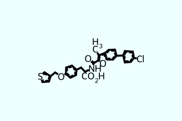 Cc1c(C(=O)N[C@@H](Cc2ccc(OCc3ccsc3)cc2)C(=O)O)oc2cc(-c3ccc(Cl)cc3)ccc12